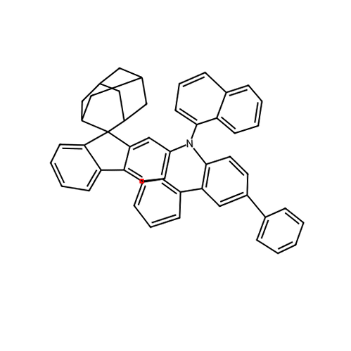 c1ccc(-c2ccc(N(c3ccc4c(c3)C3(c5ccccc5-4)C4CC5CC(C4)CC3C5)c3cccc4ccccc34)c(-c3ccccc3)c2)cc1